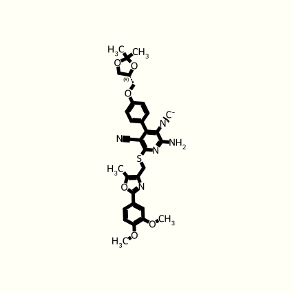 [C-]#[N+]c1c(N)nc(SCc2nc(-c3ccc(OC)c(OC)c3)oc2C)c(C#N)c1-c1ccc(OC[C@@H]2COC(C)(C)O2)cc1